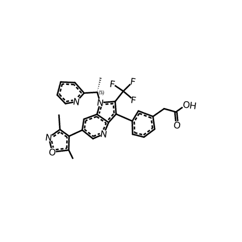 Cc1noc(C)c1-c1cnc2c(-c3cccc(CC(=O)O)c3)c(C(F)(F)F)n([C@@H](C)c3ccccn3)c2c1